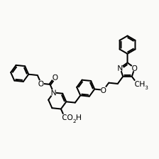 Cc1oc(-c2ccccc2)nc1CCOc1cccc(CC2=CN(C(=O)OCc3ccccc3)CCC2C(=O)O)c1